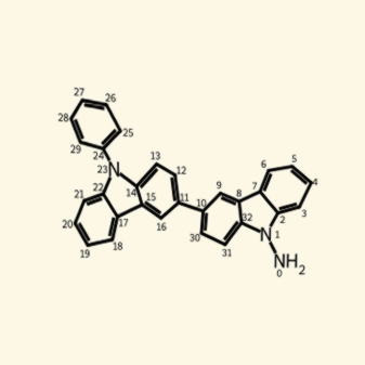 Nn1c2ccccc2c2cc(-c3ccc4c(c3)c3ccccc3n4-c3ccccc3)ccc21